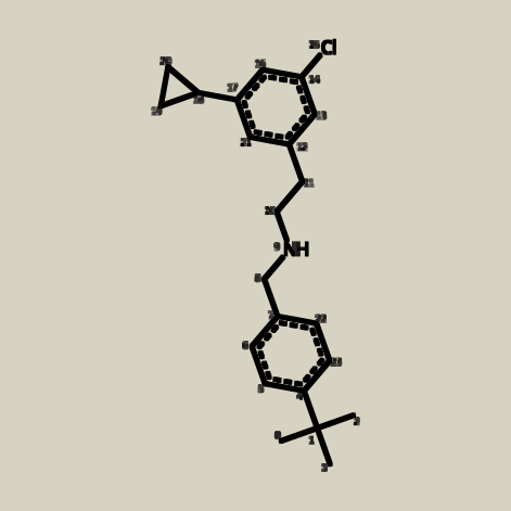 CC(C)(C)c1ccc(CNCCc2cc(Cl)cc(C3CC3)c2)cc1